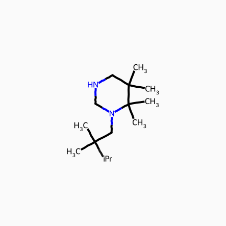 CC(C)C(C)(C)CN1CNCC(C)(C)C1(C)C